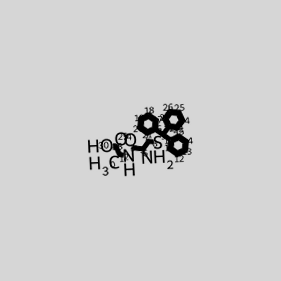 C[C@H](NC(=O)[C@@H](N)CSC(c1ccccc1)(c1ccccc1)c1ccccc1)C(=O)O